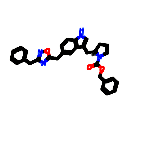 O=C(OCc1ccccc1)N1CCC[C@@H]1Cc1c[nH]c2ccc(Cc3nc(Cc4ccccc4)no3)cc12